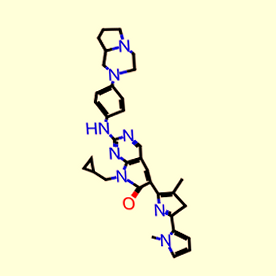 CC1=C(c2cc3cnc(Nc4ccc(N5CCN6CCCC6C5)cc4)nc3n(CC3CC3)c2=O)N=C(c2cccn2C)C1